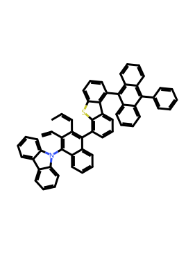 C=Cc1c(/C=C\C)c(-c2cccc3c2sc2cccc(-c4c5ccccc5c(-c5ccccc5)c5ccccc45)c23)c2ccccc2c1-n1c2ccccc2c2ccccc21